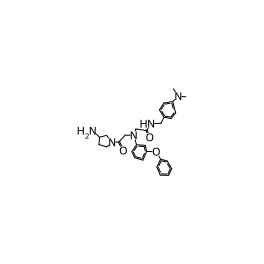 CN(C)c1ccc(CNC(=O)CN(CC(=O)N2CCC(N)C2)c2cccc(Oc3ccccc3)c2)cc1